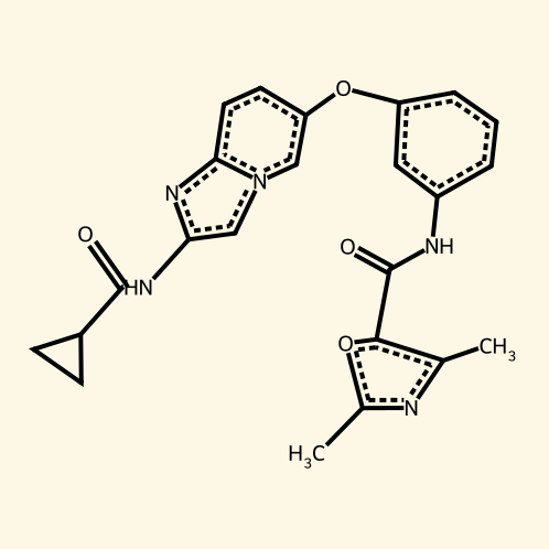 Cc1nc(C)c(C(=O)Nc2cccc(Oc3ccc4nc(NC(=O)C5CC5)cn4c3)c2)o1